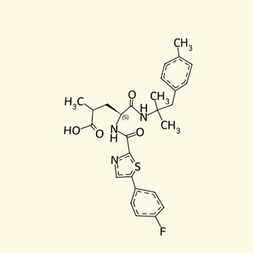 Cc1ccc(CC(C)(C)NC(=O)[C@H](CC(C)C(=O)O)NC(=O)c2ncc(-c3ccc(F)cc3)s2)cc1